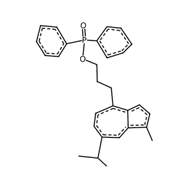 Cc1ccc2c(CCCOP(=O)(c3ccccc3)c3ccccc3)ccc(C(C)C)cc1-2